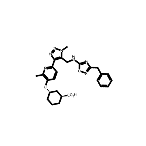 Cc1nc(-c2nnn(C)c2CNc2nc(Cc3ccccc3)no2)ccc1O[C@H]1CCC[C@H](C(=O)O)C1